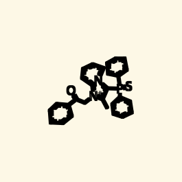 Cc1c(P(=S)(c2ccccc2)c2ccccc2)n2ccccc2[n+]1CC(=O)c1ccccc1